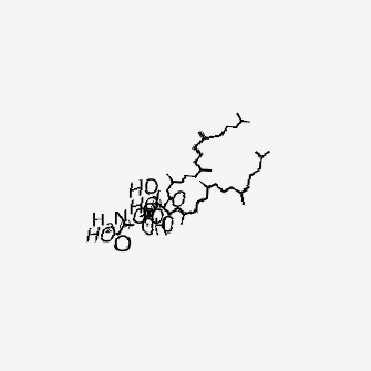 CC(C)CCCC(C)CCCC(C)CCCC(C)CC(=O)C(OP(=O)(O)OC[C@H](N)C(=O)O)(C(=O)CC(C)CCCC(C)CCCC(C)CCCC(C)C)[C@@H](O)CO